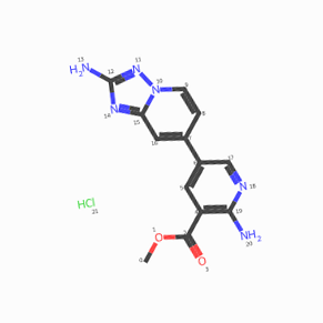 COC(=O)c1cc(-c2ccn3nc(N)nc3c2)cnc1N.Cl